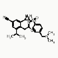 CC(C)c1cc(C#N)cc(C2CC2)c1CC(O)N=[S@](N)(=O)c1ccc(CN(C)C)cc1